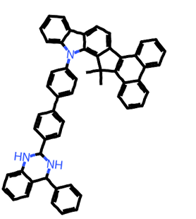 CC1(C)c2c(c3ccccc3c3ccccc23)-c2ccc3c4ccccc4n(-c4ccc(-c5ccc(C6Nc7ccccc7C(c7ccccc7)N6)cc5)cc4)c3c21